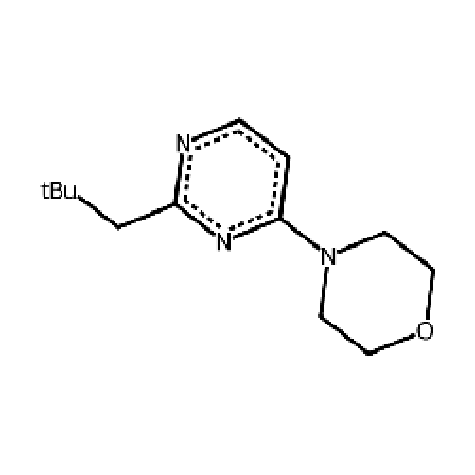 CC(C)(C)Cc1nccc(N2CCOCC2)n1